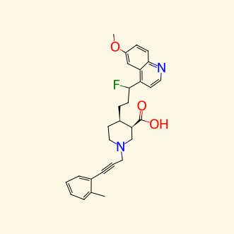 COc1ccc2nccc(C(F)CC[C@@H]3CCN(CC#Cc4ccccc4C)C[C@@H]3C(=O)O)c2c1